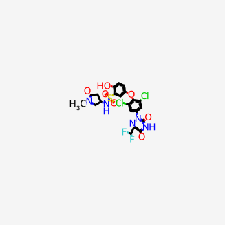 CN1CC(NS(=O)(=O)c2cc(Oc3c(Cl)cc(-n4nc(C(F)F)c(=O)[nH]c4=O)cc3Cl)ccc2O)CC1=O